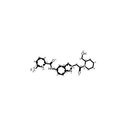 O=C(Nc1ccc2nn(CC(=O)N3CCCCC3CO)cc2c1)c1cccc(C(F)(F)F)n1